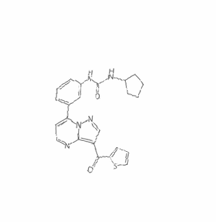 O=C(Nc1cccc(-c2ccnc3c(C(=O)c4cccs4)cnn23)c1)NC1CCCC1